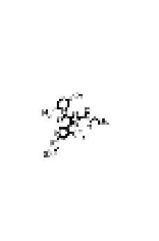 CCCC1CCC(C)N(C(=O)c2nc(C(=O)NCC(C)(C)C)sc2-c2cnc(NCC(C)(C)C)cc2C(F)(F)F)C1